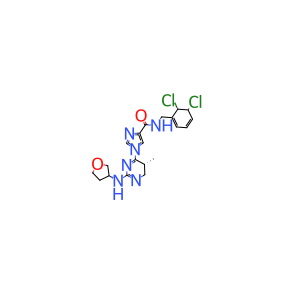 C[C@@H]1CN=C(N[C@H]2CCOC2)N=C1n1cnc(C(=O)NCC2=CC=CC(Cl)[C@@H]2Cl)c1